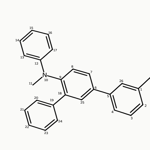 Cc1cccc(-c2ccc(N(C)c3ccccc3)c(-c3ccccc3)c2)c1